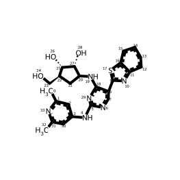 Cc1cc(Nc2ncc(-c3nc4ccccc4s3)c(NC3C[C@@H](CO)[C@H](O)[C@@H]3O)n2)cc(C)n1